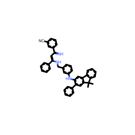 CC1(C)c2ccccc2-c2cc(Nc3cccc(CN/C(=C\C(=N)c4cccc(C#N)c4)c4ccccc4)c3)c(-c3ccccc3)cc21